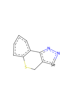 c1ccc2c(c1)SCc1[se]nnc1-2